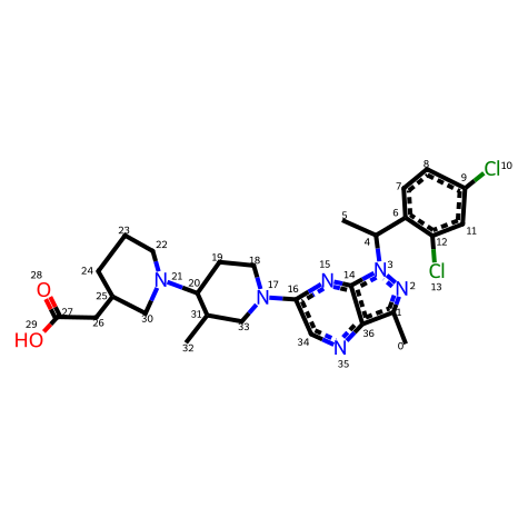 Cc1nn(C(C)c2ccc(Cl)cc2Cl)c2nc(N3CCC(N4CCCC(CC(=O)O)C4)C(C)C3)cnc12